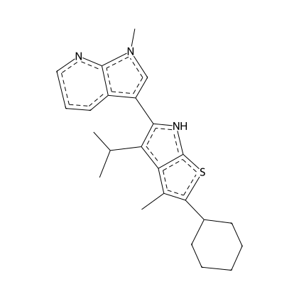 Cc1c(C2CCCCC2)sc2[nH]c(-c3cn(C)c4ncccc34)c(C(C)C)c12